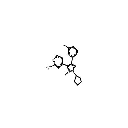 Cc1cccc(-c2nc(C3CCCC3)n(C)c2-c2ccnc(N)c2)n1